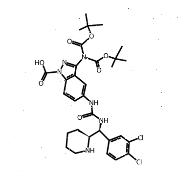 CC(C)(C)OC(=O)N(C(=O)OC(C)(C)C)c1nn(C(=O)O)c2ccc(NC(=O)N[C@@H](c3ccc(Cl)c(Cl)c3)[C@@H]3CCCCN3)cc12